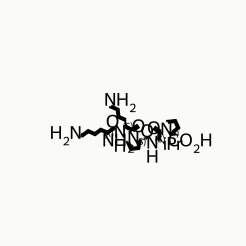 CC(C)[C@H](NC(=O)[C@@H]1CCCN1C(=O)[C@H](CCCCN)NC(=O)[C@H](N)CCCCN)C(=O)N1CCC[C@H]1C(=O)O